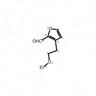 CCOCCc1ccoc1C=O